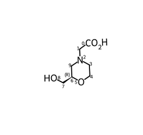 O=C(O)CN1CCO[C@@H](CO)C1